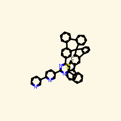 c1ccc(-c2cc(-c3ccc4c(c3)C3(c5ccccc5-c5ccccc5-4)c4ccccc4-c4cc5c(cc43)sc3ccccc35)nc(-c3ccc(-c4cccnc4)nc3)n2)cc1